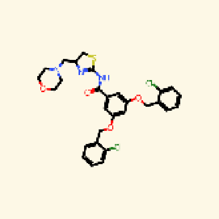 O=C(NC1=NC(CN2CCOCC2)CS1)c1cc(OCc2ccccc2Cl)cc(OCc2ccccc2Cl)c1